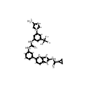 Cc1cn(-c2cc(NC(=O)Nc3cccc(-c4ccc5nc(NC(=O)C6CC6)sc5n4)c3)cc(C(F)(F)F)c2)cn1